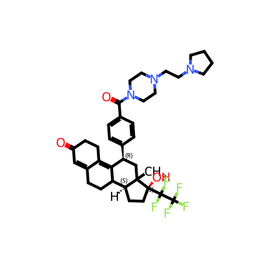 CC12C[C@H](c3ccc(C(=O)N4CCN(CCN5CCCC5)CC4)cc3)C3=C4CCC(=O)C=C4CCC3[C@@H]1CC[C@@]2(O)C(F)(F)C(F)(F)F